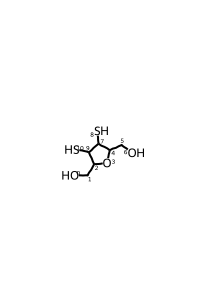 OCC1OC(CO)C(S)C1S